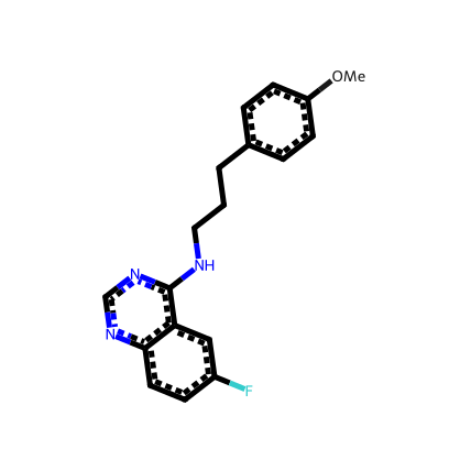 COc1ccc(CCCNc2ncnc3ccc(F)cc23)cc1